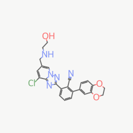 N#Cc1c(-c2ccc3c(c2)OCCO3)cccc1-c1nc2c(Cl)cc(CNCCO)cn2n1